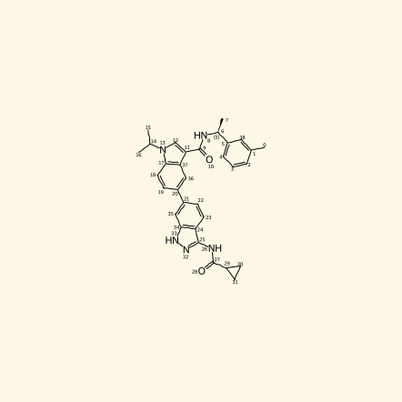 Cc1cccc([C@H](C)NC(=O)c2cn(C(C)C)c3ccc(-c4ccc5c(NC(=O)C6CC6)n[nH]c5c4)cc23)c1